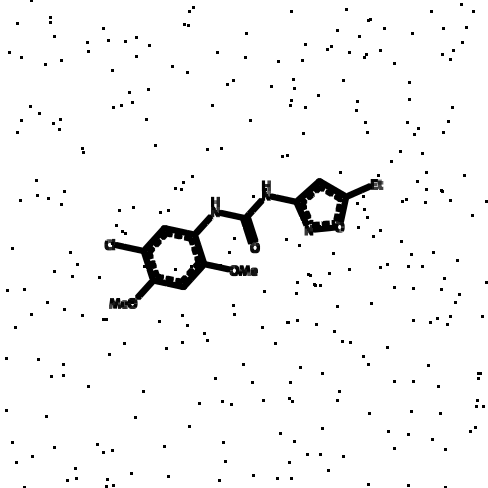 CCc1cc(NC(=O)Nc2cc(Cl)c(OC)cc2OC)no1